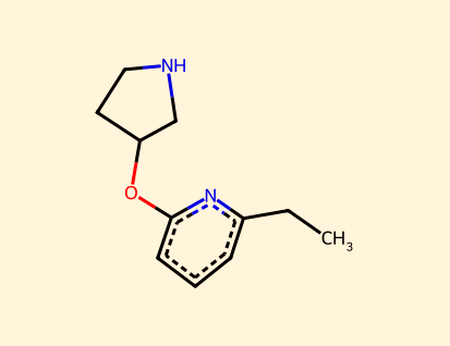 CCc1cccc(OC2CCNC2)n1